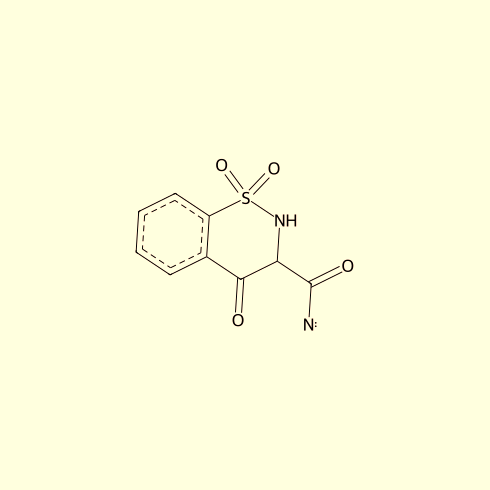 [N]C(=O)C1NS(=O)(=O)c2ccccc2C1=O